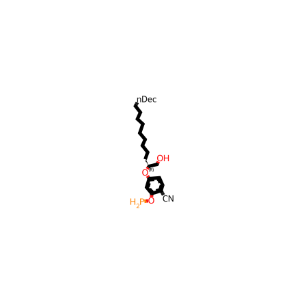 CCCCCCCCCCCCCCCCCCC[C@H](CO)Oc1ccc(C#N)c(OP)c1